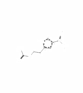 O=C(Cl)OCCc1cc([N+](=O)[O-])cs1